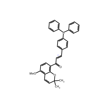 COc1ccc(C(=O)/C=C/c2ccc(N(c3ccccc3)c3ccccc3)cc2)c2c1C=CC(C)(C)O2